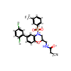 N#CCC(=O)NCC1CN(S(=O)(=O)c2cccc(C(F)(F)F)c2)c2cc(-c3cc(F)ccc3F)ccc2O1